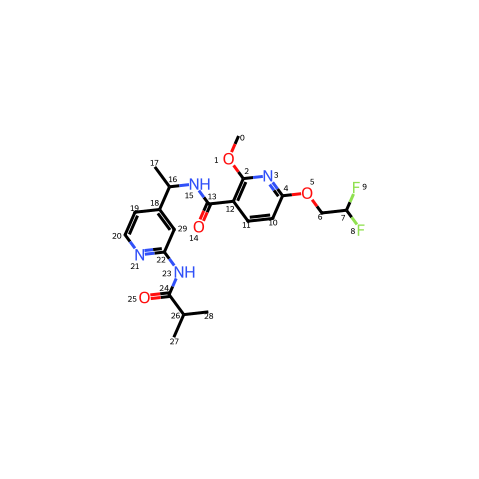 COc1nc(OCC(F)F)ccc1C(=O)NC(C)c1ccnc(NC(=O)C(C)C)c1